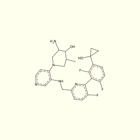 CC1CN(c2ccncc2NCc2ccc(F)c(-c3c(F)ccc(C4(O)CC4)c3F)n2)CC(N)C1O